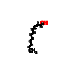 CCCCCCCC=C=CCO